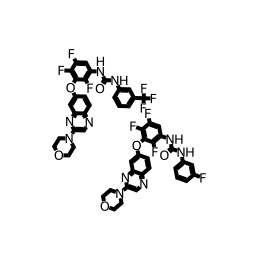 O=C(Nc1cccc(C(F)(F)F)c1)Nc1cc(F)c(F)c(Oc2ccc3ncc(N4CCOCC4)nc3c2)c1F.O=C(Nc1cccc(F)c1)Nc1cc(F)c(F)c(Oc2ccc3ncc(N4CCOCC4)nc3c2)c1F